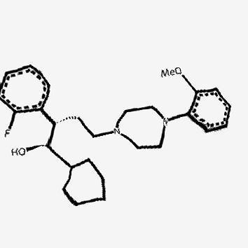 COc1ccccc1N1CCN(CC[C@@H](c2ccccc2F)[C@H](O)C2CCCCC2)CC1